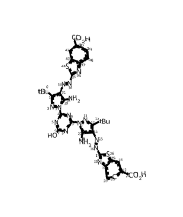 CC(C)(C)c1nn(-c2nc(O)nc(-n3nc(C(C)(C)C)c(N=Nc4nc5ccc(C(=O)O)cc5s4)c3N)n2)c(N)c1N=Nc1nc2ccc(C(=O)O)cc2s1